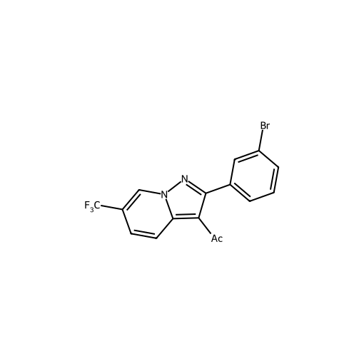 CC(=O)c1c(-c2cccc(Br)c2)nn2cc(C(F)(F)F)ccc12